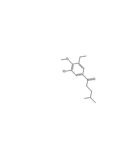 CCc1cc(C(=O)CCC(C)C)cc(Cl)c1OC